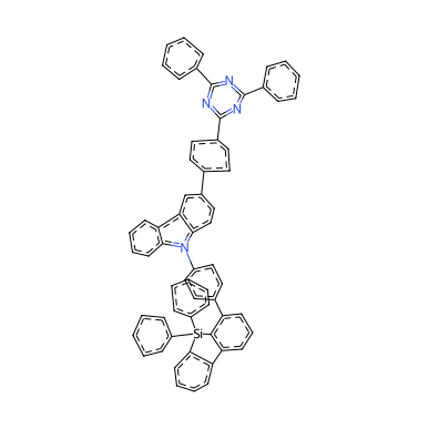 c1ccc(-c2nc(-c3ccccc3)nc(-c3ccc(-c4ccc5c(c4)c4ccccc4n5-c4ccc(-c5cccc6c5[Si](c5ccccc5)(c5ccccc5)c5ccccc5-6)cc4)cc3)n2)cc1